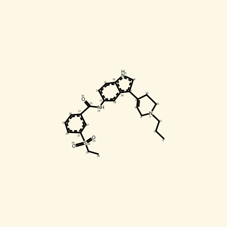 CCCN1CC=C(c2c[nH]c3ccc(NC(=O)c4cccc(S(=O)(=O)CC)c4)cc23)CC1